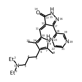 CCN(CC)CCCc1c(C)[nH]c(/C=C2/C(=O)NN=C2c2cnccn2)c1C